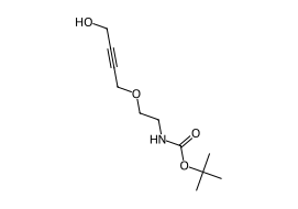 CC(C)(C)OC(=O)NCCOCC#CCO